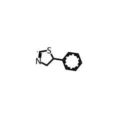 [C]1=NCC(c2ccccc2)S1